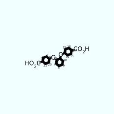 O=C(O)c1ccc(Oc2ccccc2Oc2ccc(C(=O)O)cc2)cc1